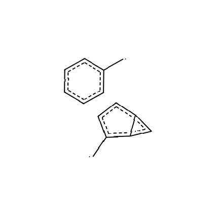 [CH2]c1ccc2cc1-2.[CH2]c1ccccc1